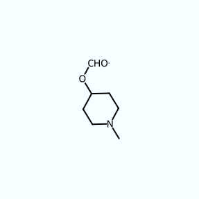 CN1CCC(O[C]=O)CC1